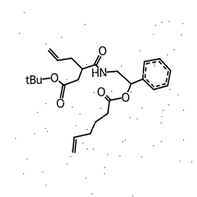 C=CCCCC(=O)OC(CNC(=O)C(CC=C)CC(=O)OC(C)(C)C)c1ccccc1